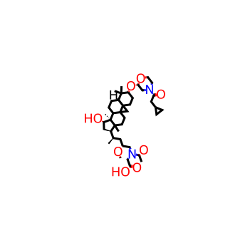 COC(C[C@@H](C)[C@H]1C[C@H](O)[C@@]2(C)C3CC[C@H]4C(C)(C)C(O[C@H]5CN(C(=O)CC6CC6)CCO5)CCC45CC35CCC12C)CN(CC(=O)O)C(C)=O